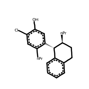 CCCc1cc(Cl)c(O)cc1[C@H]1c2ccccc2CC[C@@H]1CCC